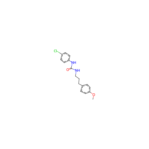 COc1ccc(CCCNC(=O)Nc2ccc(Cl)cc2)cc1